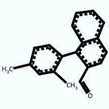 Cc1ccc(-c2c(C=O)ccc3ccccc23)c(C)c1